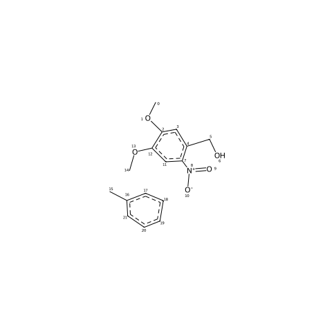 COc1cc(CO)c([N+](=O)[O-])cc1OC.Cc1ccccc1